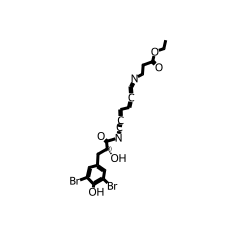 CCOC(=O)CCN=C=C=CC=C=C=NC(=O)[C@H](O)Cc1cc(Br)c(O)c(Br)c1